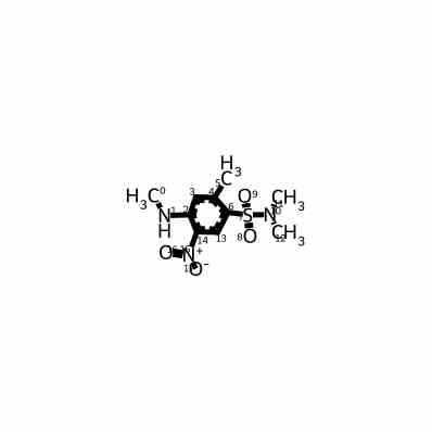 CNc1cc(C)c(S(=O)(=O)N(C)C)cc1[N+](=O)[O-]